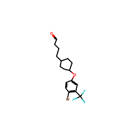 O=CCCCC1CCC(Oc2ccc(Br)c(C(F)(F)F)c2)CC1